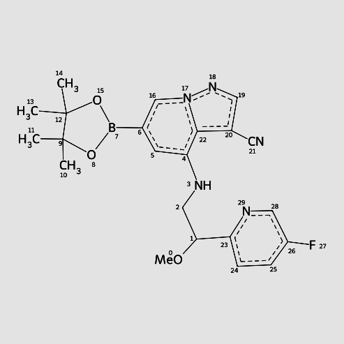 COC(CNc1cc(B2OC(C)(C)C(C)(C)O2)cn2ncc(C#N)c12)c1ccc(F)cn1